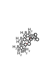 Bc1c(B)c(B)c(-c2cccc(-c3c(B)c(B)c4oc5c(B)c(B)c(B)c(B)c5c4c3-n3c4ccccc4c4cc(-n5c6ccccc6c6ccccc65)ccc43)c2)c(B)c1B